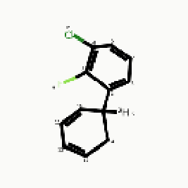 [2H]C1(c2cccc(Cl)c2F)C=CC=CC1